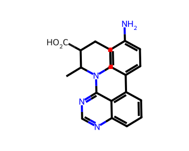 CC1C(C(=O)O)CCCN1c1ncnc2cccc(-c3ccc(N)cc3)c12